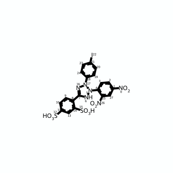 O=[N+]([O-])c1ccc(N2NC(c3ccc(S(=O)(=O)O)cc3S(=O)(=O)O)=NN2c2ccc(I)cc2)c([N+](=O)[O-])c1